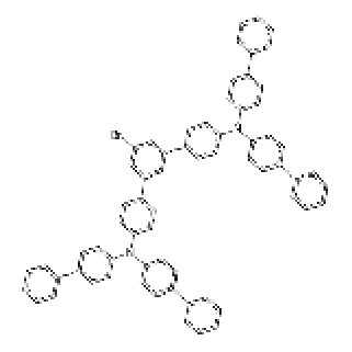 Brc1cc(-c2ccc(N(c3ccc(-c4ccccc4)cc3)c3ccc(-c4ccccc4)cc3)cc2)cc(-c2ccc(N(c3ccc(-c4ccccc4)cc3)c3ccc(-c4ccccc4)cc3)cc2)c1